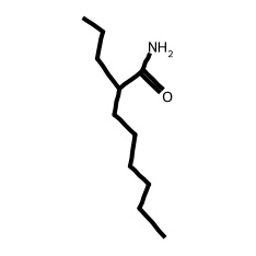 CCCCCCC(CCC)C(N)=O